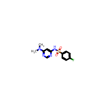 CN(C)c1cc(NS(=O)(=O)c2ccc(F)cc2)ncn1